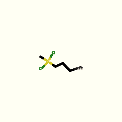 CCCCCCS(C)(Cl)Cl